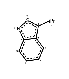 CC(C)c1snc2ccccc12